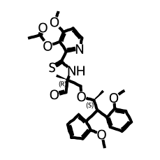 COc1ccccc1C(c1ccccc1OC)[C@H](C)OC[C@](C)(C=O)NC(=S)c1nccc(OC)c1OC(C)=O